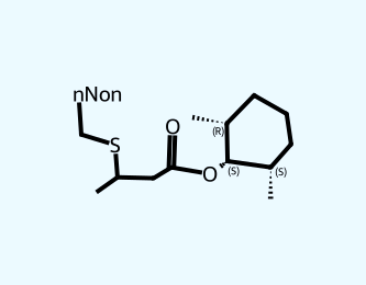 CCCCCCCCCCSC(C)CC(=O)O[C@@H]1[C@H](C)CCC[C@@H]1C